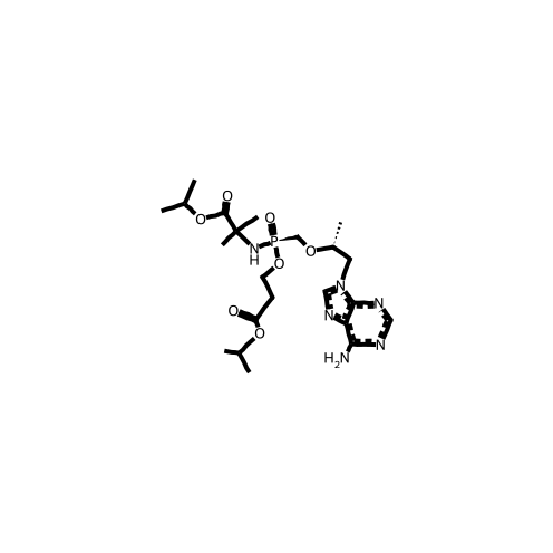 CC(C)OC(=O)CCO[P@](=O)(CO[C@H](C)Cn1cnc2c(N)ncnc21)NC(C)(C)C(=O)OC(C)C